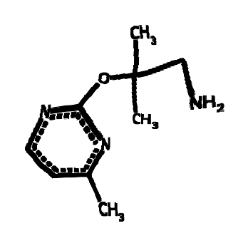 Cc1ccnc(OC(C)(C)CN)n1